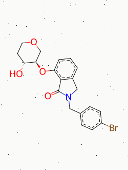 O=C1c2c(cccc2O[C@@H]2COCC[C@H]2O)CN1Cc1ccc(Br)cc1